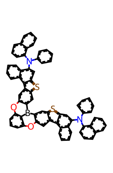 c1ccc(N(c2cccc3ccccc23)c2cc3sc4cc5c(cc4c3c3ccccc23)Oc2cccc3c2B5c2cc4sc5cc(N(c6ccccc6)c6cccc7ccccc67)c6ccccc6c5c4cc2O3)cc1